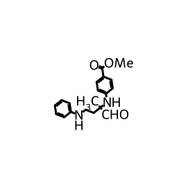 COC(=O)c1ccc(NC(C)(C=O)CCNc2ccccc2)cc1